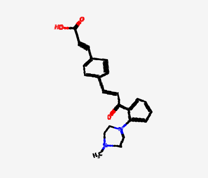 CN1CCN(c2ccccc2C(=O)/C=C/c2ccc(/C=C/C(=O)O)cc2)CC1